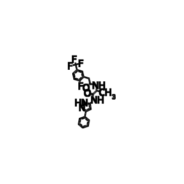 CC(NC(=O)Cc1cc(C(F)(F)F)ccc1F)C(=O)Nc1cc(-c2ccccc2)n[nH]1